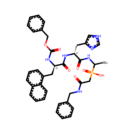 CCC(C)C(NC(=O)[C@@H](Cc1c[nH]cn1)NC(=O)[C@@H](Cc1cccc2ccccc12)NC(=O)OCc1ccccc1)P(=O)(O)CC(=O)NCc1ccccc1